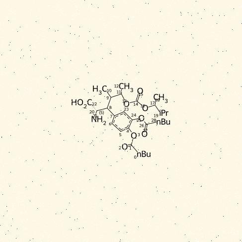 CCCCC(=O)Oc1ccc(C(C(C)C(C)OC(=O)OC(C)C(C)C)[C@H](N)C(=O)O)cc1OC(=O)CCCC